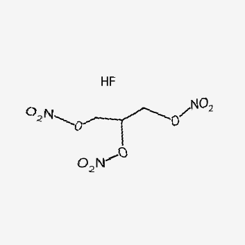 F.O=[N+]([O-])OCC(CO[N+](=O)[O-])O[N+](=O)[O-]